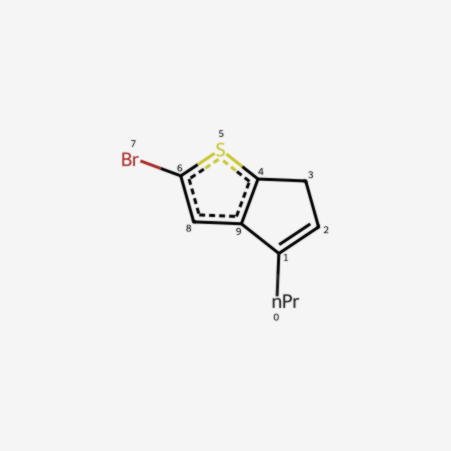 CCCC1=CCc2sc(Br)cc21